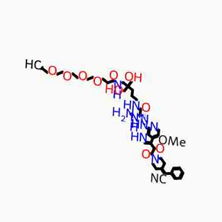 C#CCOCCOCCOCCOCCC(=O)NCC(CO)(CO)CCCNC(=O)/C(=N/Nc1ncc(OC)c2c(C(=O)C(=O)N3CCC(=C(C#N)c4ccccc4)CC3)c[nH]c12)NN